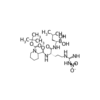 CC(C)C[C@H](NC(=O)[C@H](CCCNC(=N)N[N+](=O)[O-])NC(=O)C1CCCCN1C(=O)OC(C)(C)C)B(O)O